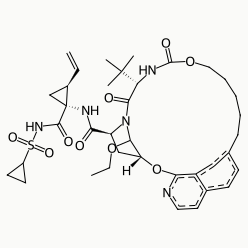 C=C[C@@H]1C[C@]1(NC(=O)[C@@H]1C[C@H]2Oc3nccc4ccc(cc34)CCCCCOC(=O)N[C@@H](C(C)(C)C)C(=O)N1C2OCC)C(=O)NS(=O)(=O)C1CC1